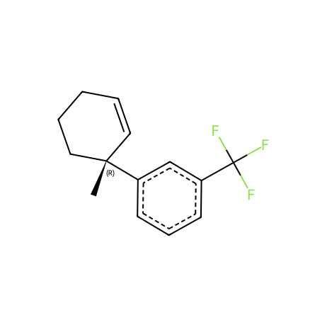 C[C@]1(c2cccc(C(F)(F)F)c2)C=CCCC1